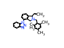 C=CC1c2cccc(-n3nnc4ccccc43)c2CN1Cc1c(C)cc(C)cc1C